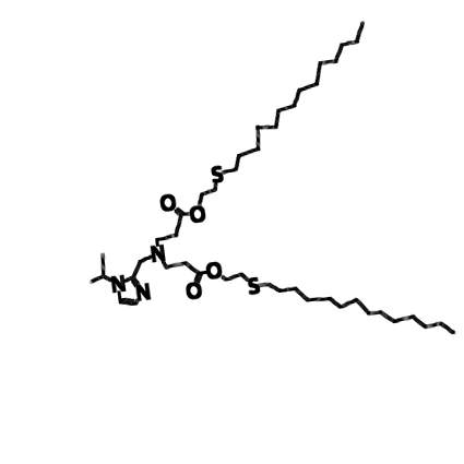 CCCCCCCCCCCCCCSCCOC(=O)CCN(CCC(=O)OCCSCCCCCCCCCCCCCC)Cc1nccn1C(C)C